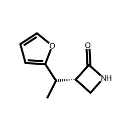 CC(c1ccco1)[C@H]1CNC1=O